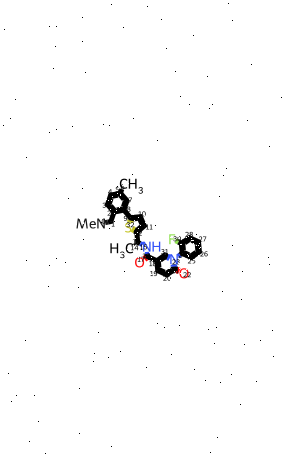 CNCc1ccc(C)cc1-c1ccc([C@@H](C)NC(=O)c2ccc(=O)n(-c3ccccc3F)c2)s1